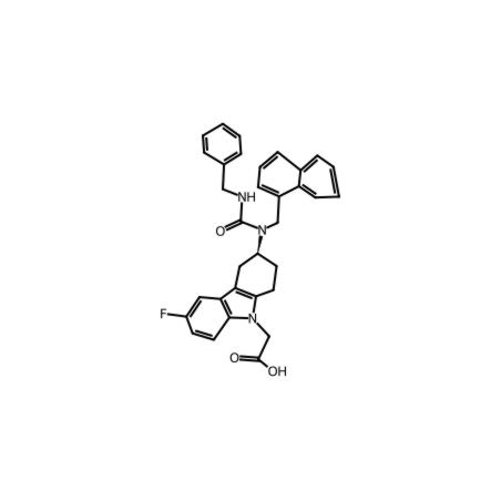 O=C(O)Cn1c2c(c3cc(F)ccc31)C[C@@H](N(Cc1cccc3ccccc13)C(=O)NCc1ccccc1)CC2